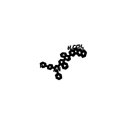 CC1(C)c2ccc(-c3ccc(-c4ccc(-c5cc(-c6ccc(-c7cccnc7)cc6)nc(-c6ccccc6)n5)c5ccccc45)c4ccccc34)cc2-c2cc3ccccc3cc21